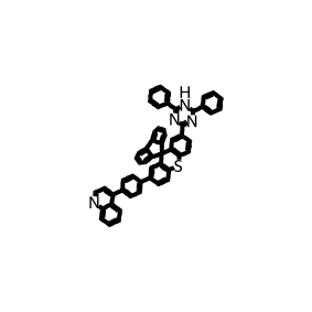 c1ccc(C2=NC(c3ccc4c(c3)C3(c5cc(-c6ccc(-c7ccnc8ccccc78)cc6)ccc5S4)c4ccccc4-c4ccccc43)=NC(c3ccccc3)N2)cc1